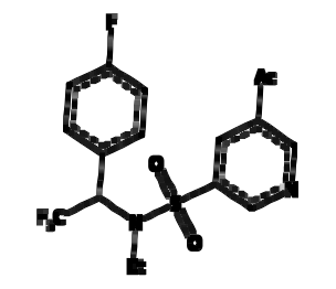 CCN(C(c1ccc(F)cc1)C(F)(F)F)S(=O)(=O)c1cncc(C(C)=O)c1